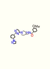 COc1cccc(C(=O)NCC2CCN(c3ccnc(-c4cccc(-n5cccn5)c4)n3)CC2)c1